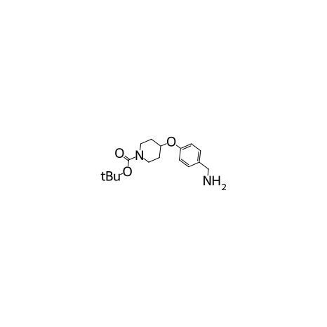 CC(C)(C)OC(=O)N1CCC(Oc2ccc(CN)cc2)CC1